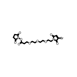 O=C(CCOCCOCCOCCN1C(=O)C=C(Br)C1=O)ON1C(=O)CCC1=O